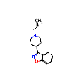 C=CCN1CCC(c2noc3ccccc23)CC1